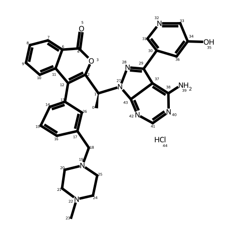 C[C@@H](c1oc(=O)c2ccccc2c1-c1cccc(CN2CCN(C)CC2)c1)n1nc(-c2cncc(O)c2)c2c(N)ncnc21.Cl